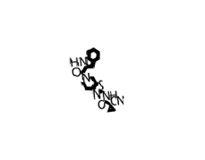 N#CC1(C(=O)Nc2nc3c(s2)CN(C(=O)c2cc4ccccc4[nH]2)CC3)CC1